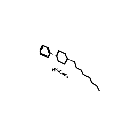 CCCCCCCC[C@H]1CC[C@H](c2ccccc2)CC1.N=C=S